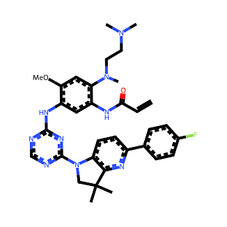 C=CC(=O)Nc1cc(Nc2ncnc(N3CC(C)(C)c4nc(-c5ccc(F)cc5)ccc43)n2)c(OC)cc1N(C)CCN(C)C